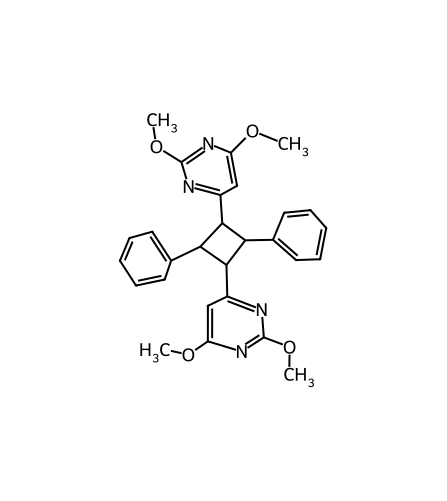 COc1cc(C2C(c3ccccc3)C(c3cc(OC)nc(OC)n3)C2c2ccccc2)nc(OC)n1